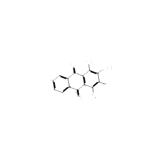 Cc1c(S)c(Br)c(N)c2c1C(=O)c1ccccc1C2=O